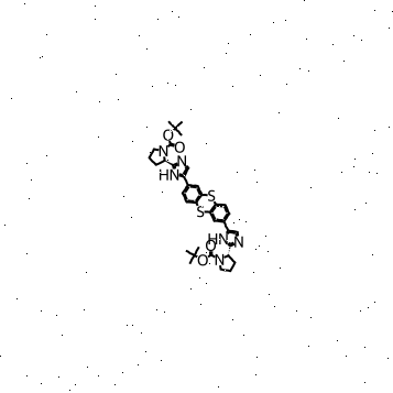 CC(C)(C)OC(=O)N1CCC[C@@H]1c1ncc(-c2ccc3c(c2)Sc2ccc(-c4cnc([C@@H]5CCCN5C(=O)OC(C)(C)C)[nH]4)cc2S3)[nH]1